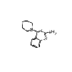 Bc1nc(N2CCCCC2)c2ccccc2n1